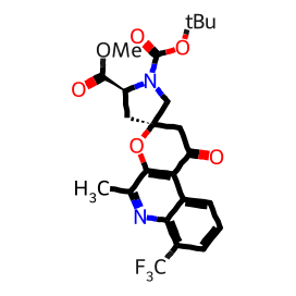 COC(=O)[C@@H]1C[C@@]2(CC(=O)c3c(c(C)nc4c(C(F)(F)F)cccc34)O2)CN1C(=O)OC(C)(C)C